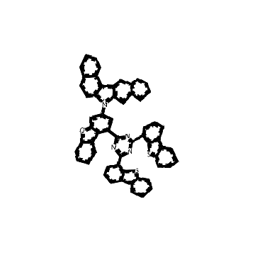 c1ccc2cc3c(cc2c1)c1c2ccccc2ccc1n3-c1cc(-c2nc(-c3cccc4c3sc3ccccc34)nc(-c3cccc4c3sc3ccccc34)n2)c2c(c1)oc1ccccc12